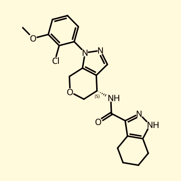 COc1cccc(-n2ncc3c2COC[C@H]3NC(=O)c2n[nH]c3c2CCCC3)c1Cl